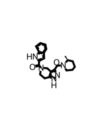 C[C@H]1CCCCN1C(=O)c1n[nH]c2c1CN(C(=O)c1cc3ccccc3[nH]1)CC2